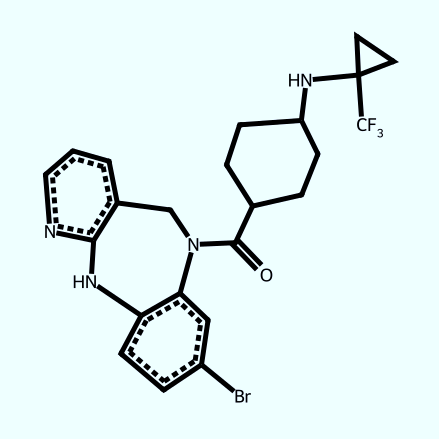 O=C(C1CCC(NC2(C(F)(F)F)CC2)CC1)N1Cc2cccnc2Nc2ccc(Br)cc21